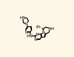 CC(C)[C@@H]1CNCc2cc3cnc(Nc4ccc(N5CCNCC5)cn4)nc3n21